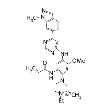 C=CC(=O)Nc1cc(Nc2cc(-c3ccc4cnn(C)c4c3)ncn2)c(OC)cc1N1CCN(CC)[C@H](C)C1